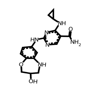 NC(=O)c1cnc(Nc2ccc3c(c2)NCC(O)CO3)nc1NC1CC1